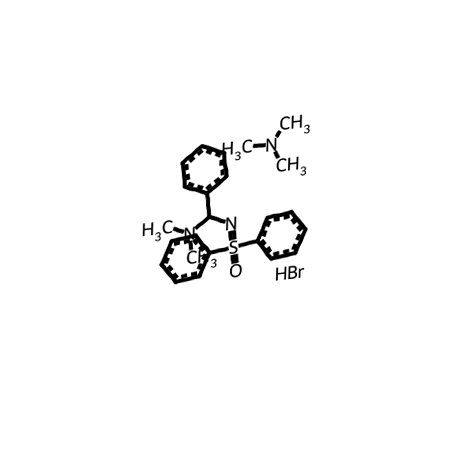 Br.CN(C)C.CN(C)C(N=S(=O)(c1ccccc1)c1ccccc1)c1ccccc1